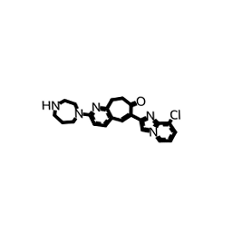 O=C1CCc2nc(N3CCCNCC3)ccc2C=C1c1cn2cccc(Cl)c2n1